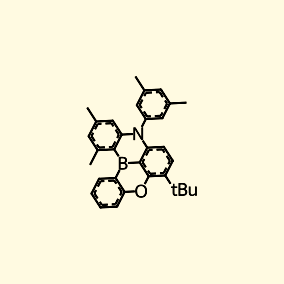 Cc1cc(C)cc(N2c3cc(C)cc(C)c3B3c4ccccc4Oc4c(C(C)(C)C)ccc2c43)c1